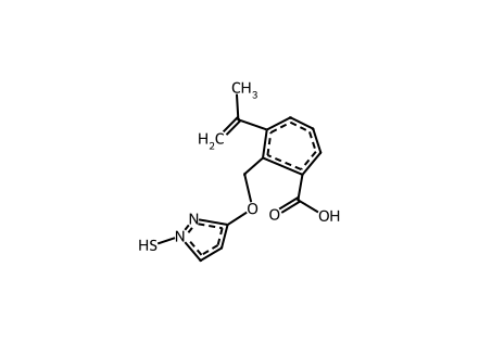 C=C(C)c1cccc(C(=O)O)c1COc1ccn(S)n1